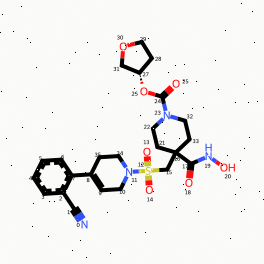 N#Cc1ccccc1C1=CCN(S(=O)(=O)CC2(C(=O)NO)CCN(C(=O)O[C@H]3CCOC3)CC2)CC1